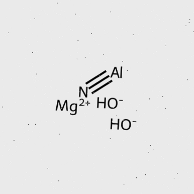 [Mg+2].[N]#[Al].[OH-].[OH-]